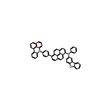 c1ccc(-c2ccccc2N(c2ccccc2)c2ccc(-c3ccc4ccc5c(N(c6ccccc6)c6ccc7oc8ccccc8c7c6)ccc6ccc3c4c65)cc2)cc1